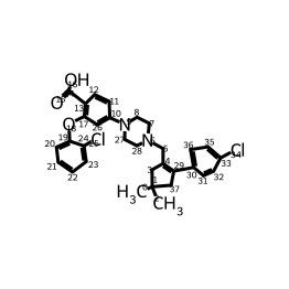 CC1(C)CC(CN2CCN(c3ccc(C(=O)O)c(Oc4ccccc4Cl)c3)CC2)=C(c2ccc(Cl)cc2)C1